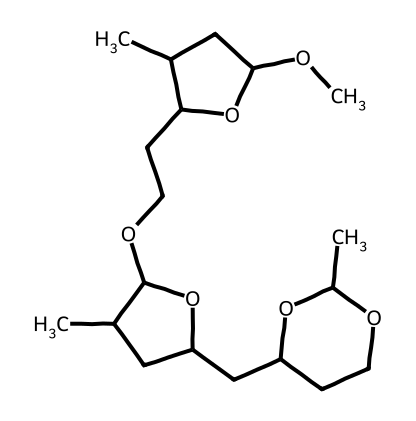 COC1CC(C)C(CCOC2OC(CC3CCOC(C)O3)CC2C)O1